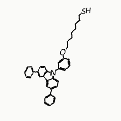 SCCCCCCCCOc1cccc(-n2c3ccc(-c4ccccc4)cc3c3cc(-c4ccccc4)ccc32)c1